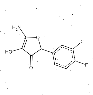 NC1=C(O)C(=O)C(c2ccc(F)c(Cl)c2)O1